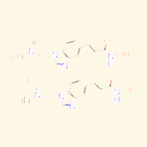 CC(C)CCN(CCn1cnc2cc(C=CC(=O)NO)ccc21)C(C)C.CCCN(CCC)CCn1cnc2cc(C=CC(=O)NO)ccc21